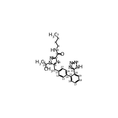 CCCCNC(=O)c1nc(Cc2ccc(-c3ccccc3-c3nnn[nH]3)cc2)n(C(C)C)n1